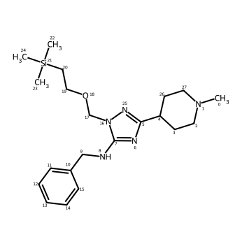 CN1CCC(c2nc(NCc3ccccc3)n(COCC[Si](C)(C)C)n2)CC1